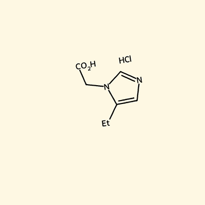 CCc1cncn1CC(=O)O.Cl